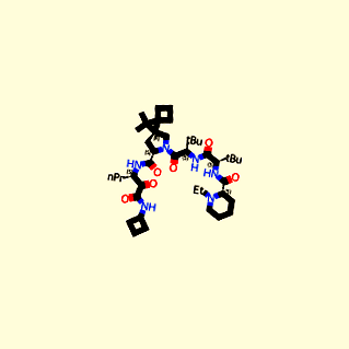 CCC[C@H](NC(=O)[C@@H]1C[C@@]2(CN1C(=O)[C@@H](NC(=O)[C@@H](NC(=O)[C@@H]1CCCCN1CC)C(C)(C)C)C(C)(C)C)C(C)(C)C21CCC1)C(=O)C(=O)NC1CCC1